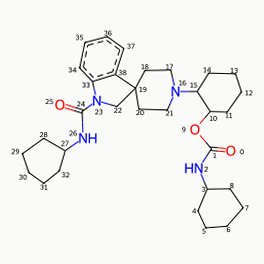 O=C(NC1CCCCC1)OC1CCCCC1N1CCC2(CC1)CN(C(=O)NC1CCCCC1)c1ccccc12